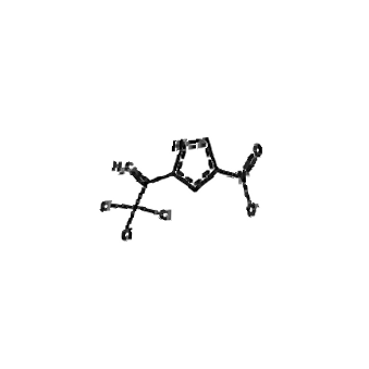 C=C(c1cc([N+](=O)[O-])c[nH]1)C(Cl)(Cl)Cl